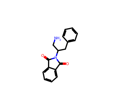 NCC(Cc1ccccc1)N1C(=O)c2ccccc2C1=O